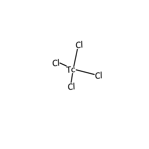 [Cl][Tc]([Cl])([Cl])[Cl]